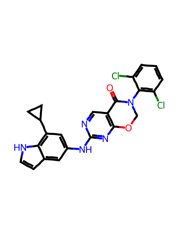 O=C1c2cnc(Nc3cc(C4CC4)c4[nH]ccc4c3)nc2OCN1c1c(Cl)cccc1Cl